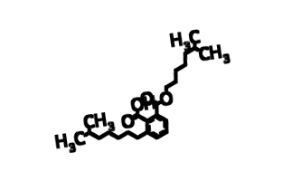 CC(C)CCCCCOC(=O)c1cccc(CCCCCC(C)C)c1C(=O)O